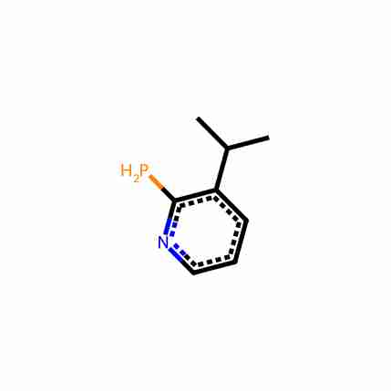 CC(C)c1cccnc1P